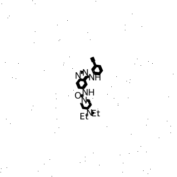 C#Cc1cccc(Nc2ncnc3ccc(NC(=O)N4CCC(N(CC)CC)CC4)cc23)c1